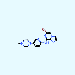 CN1CCN(c2ccc(NC3=NC(Br)=CN4C=CNC34)nc2)CC1